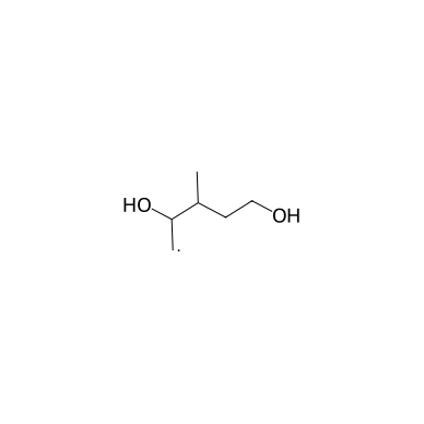 [CH2]C(O)C(C)CCO